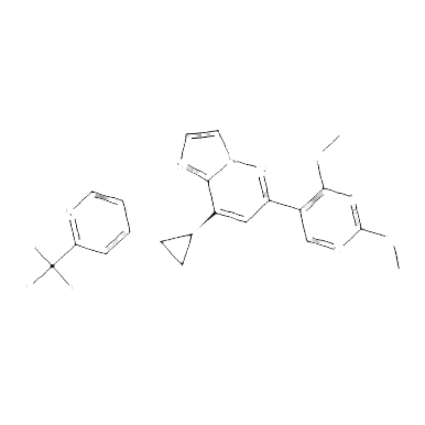 COc1ncc(-c2cc([C@H]3C[C@@H]3c3ccnc(C(F)(F)F)c3)c3nccn3n2)c(OC)n1